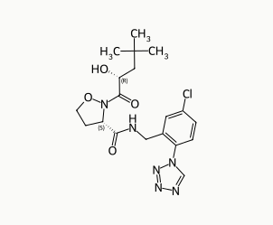 CC(C)(C)C[C@@H](O)C(=O)N1OCC[C@H]1C(=O)NCc1cc(Cl)ccc1-n1cnnn1